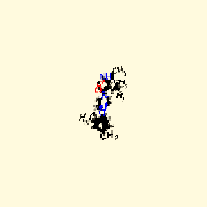 CCC[C@H](C(N)=O)[C@@H](CC(C)C)C(=O)N1CCN(c2ccc(C)cc2C)CC1